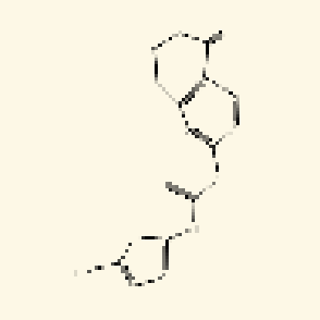 CC(C)c1cnc(NC(=O)Nc2ccc3c(c2)CCCC3=O)s1